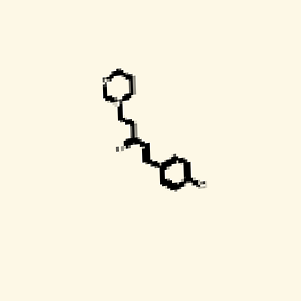 O=C(C=Cc1ccc(Cl)cc1)CCN1CCCSC1